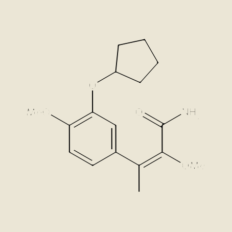 COC(C(N)=O)=C(C)c1ccc(OC)c(OC2CCCC2)c1